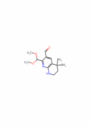 BC1(B)CCNc2nc(C(OC)OC)c(C=O)cc21